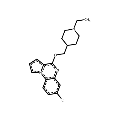 CCN1CCC(COc2nc3cc(Cl)ccc3n3cccc23)CC1